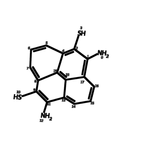 Nc1c(S)c2cccc3c(S)c(N)c4cccc1c4c23